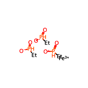 CC[PH](=O)[O-].CC[PH](=O)[O-].CC[PH](=O)[O-].[Fe+3]